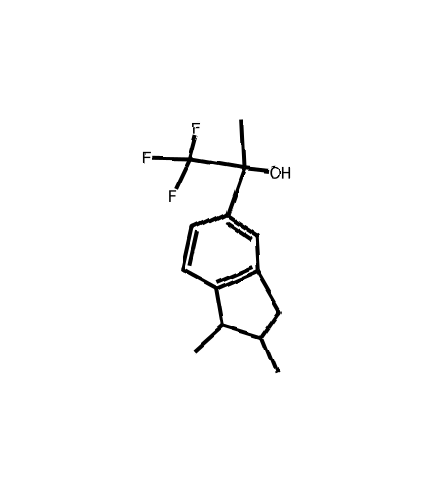 CC1Cc2cc(C(C)(O)C(F)(F)F)ccc2C1C